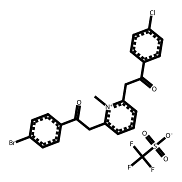 C[n+]1c(CC(=O)c2ccc(Cl)cc2)cccc1CC(=O)c1ccc(Br)cc1.O=S(=O)([O-])C(F)(F)F